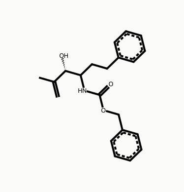 C=C(C)[C@H](O)C(CCc1ccccc1)NC(=O)OCc1ccccc1